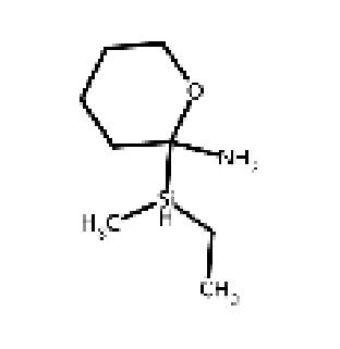 CC[SiH](C)C1(N)CCCCO1